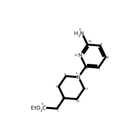 CCOC(=O)CC1CCN(c2cccc(N)n2)CC1